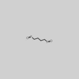 O=PCCCCP=O